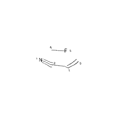 C=CC#N.CF